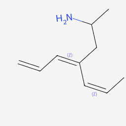 C=C/C=C(\C=C/C)CC(C)N